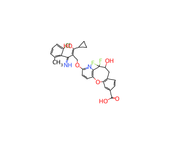 Cc1cccc(Cl)c1C(=N)/C(COc1ccc2c(n1)C(F)(F)C(O)Cc1ccc(C(=O)O)cc1O2)=C(\O)C1CC1